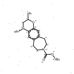 CCCC1CN(CCC)c2cc3c(cc2O1)CCN(C(=O)OC(C)(C)C)CC3